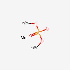 CCCOP(=O)([O-])OCCC.[Mn+]